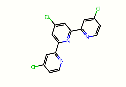 Clc1ccnc(-c2cc(Cl)cc(-c3cc(Cl)ccn3)n2)c1